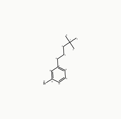 CC(C)(C)CCCc1cccc(Br)c1